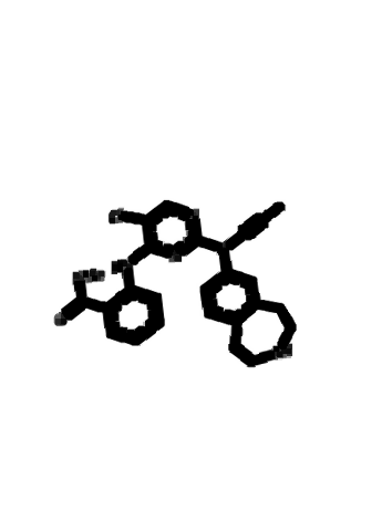 CC#CN(c1ccc2c(c1)CCNCC2)c1ncc(Cl)c(Nc2ccccc2C(=O)NC)n1